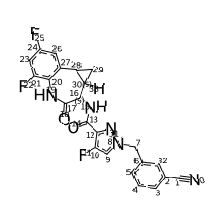 N#Cc1cccc(Cn2cc(F)c(C(=O)N[C@@H]3C(=O)Nc4c(F)cc(F)cc4C4C[C@@H]43)n2)c1